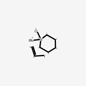 CC(C)(C)[Si]1(Cl)CCCCC1.[CH2]C=C